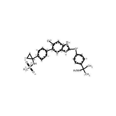 CC(=O)NC(C)(C)c1ccc(Oc2nc3nc(-c4ccc(C5(NS(C)(=O)=O)CC5)cc4)c(Cl)cc3[nH]2)cc1